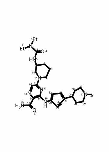 CCN(CC)C(=O)NC1CCCN(c2cnc(C(N)=O)c(Nc3ccc(C4CCN(C)CC4)cc3)n2)C1